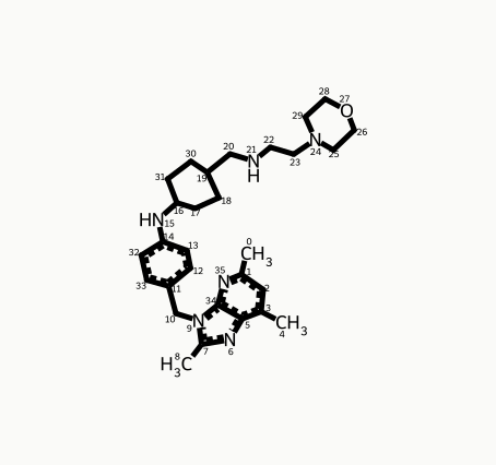 Cc1cc(C)c2nc(C)n(Cc3ccc(NC4CCC(CNCCN5CCOCC5)CC4)cc3)c2n1